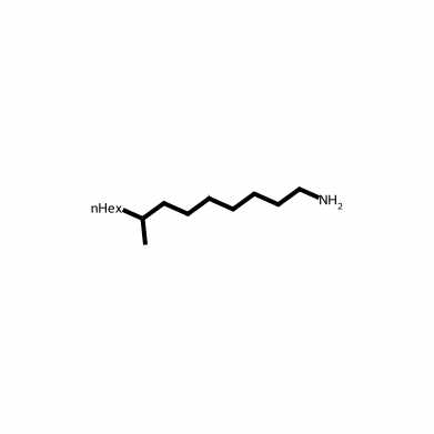 CCCCCCC(C)CC[CH]CCCCN